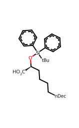 CCCCCCCCCCCCCC[C@H](O[Si](c1ccccc1)(c1ccccc1)C(C)(C)C)C(=O)O